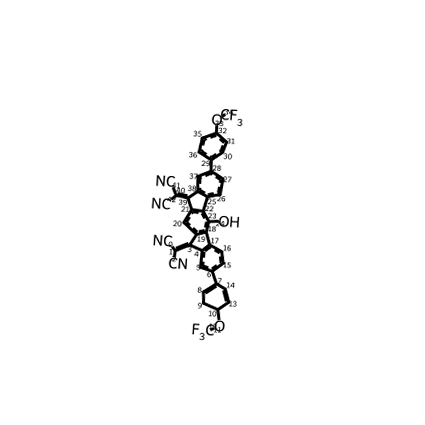 N#CC(C#N)=C1c2cc(C3=CCC(OC(F)(F)F)C=C3)ccc2-c2c1cc1c(c2O)-c2ccc(-c3ccc(OC(F)(F)F)cc3)cc2C1=C(C#N)C#N